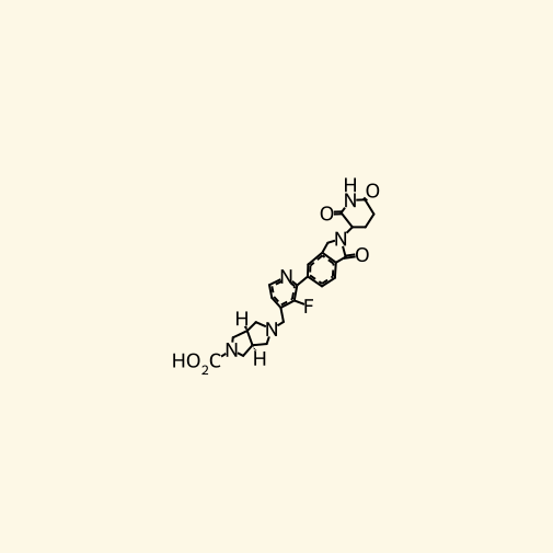 O=C1CCC(N2Cc3cc(-c4nccc(CN5C[C@H]6CN(C(=O)O)C[C@@H]6C5)c4F)ccc3C2=O)C(=O)N1